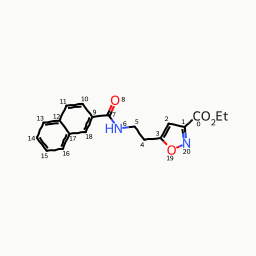 CCOC(=O)c1cc(CCNC(=O)c2ccc3ccccc3c2)on1